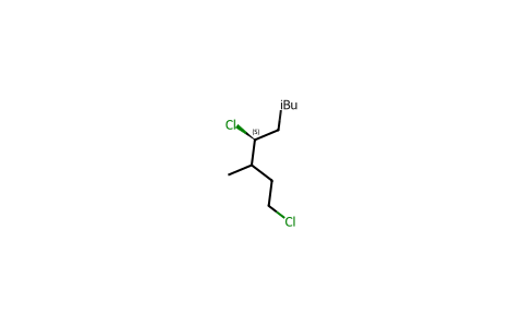 CCC(C)C[C@H](Cl)C(C)CCCl